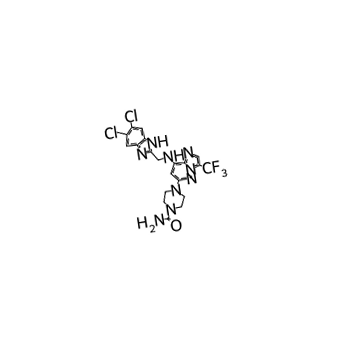 NC(=O)N1CCN(c2cc(NCc3nc4cc(Cl)c(Cl)cc4[nH]3)c3ncc(C(F)(F)F)n3n2)CC1